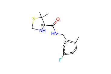 Cc1ccc(F)cc1CNC(=O)[C@H]1NCSC1(C)C